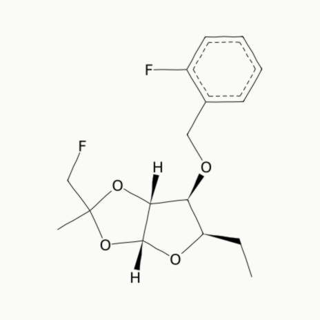 CC[C@H]1O[C@@H]2OC(C)(CF)O[C@@H]2[C@H]1OCc1ccccc1F